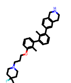 Cc1c(OCCCN2CCC(C)(F)CC2)cccc1-c1cccc(-c2ccc3c(c2)CCNC3)c1C